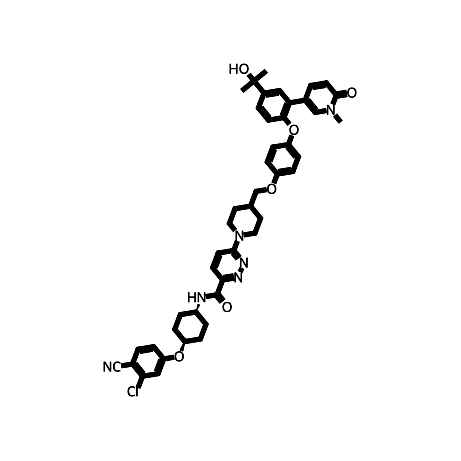 Cn1cc(-c2cc(C(C)(C)O)ccc2Oc2ccc(OCC3CCN(c4ccc(C(=O)N[C@H]5CC[C@H](Oc6ccc(C#N)c(Cl)c6)CC5)nn4)CC3)cc2)ccc1=O